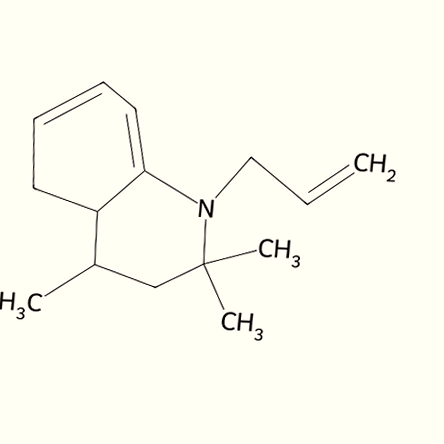 C=CCN1C2=CC=CCC2C(C)CC1(C)C